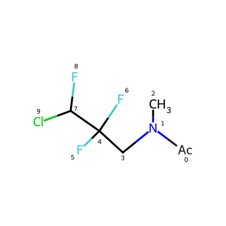 CC(=O)N(C)CC(F)(F)C(F)Cl